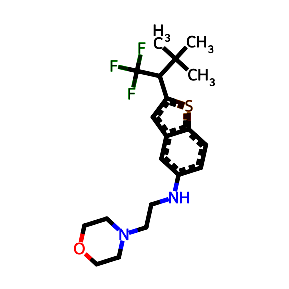 CC(C)(C)C(c1cc2cc(NCCN3CCOCC3)ccc2s1)C(F)(F)F